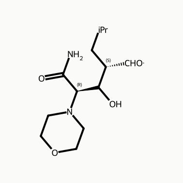 CC(C)C[C@H]([C]=O)C(O)[C@H](C(N)=O)N1CCOCC1